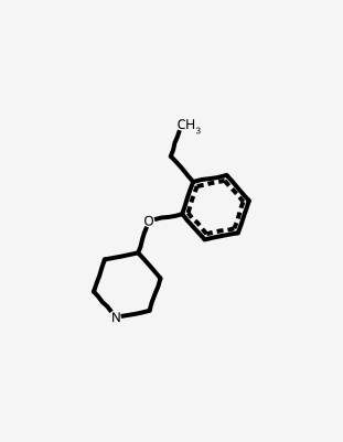 CCc1ccccc1OC1CC[N]CC1